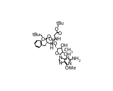 COc1nc(N)nc2c1ncn2[C@@H]1O[C@H](COP(=O)(NCC(=O)OCC(C)(C)C)N[C@@H](Cc2ccccc2)C(=O)OCC(C)(C)C)[C@@H](O)[C@@]1(C)O